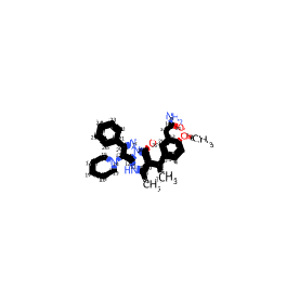 COc1ccc(C(C)c2c(C)[nH]c3c(N4CCCCC4)c(-c4ccccc4)nn3c2=O)cc1CC(N)=O